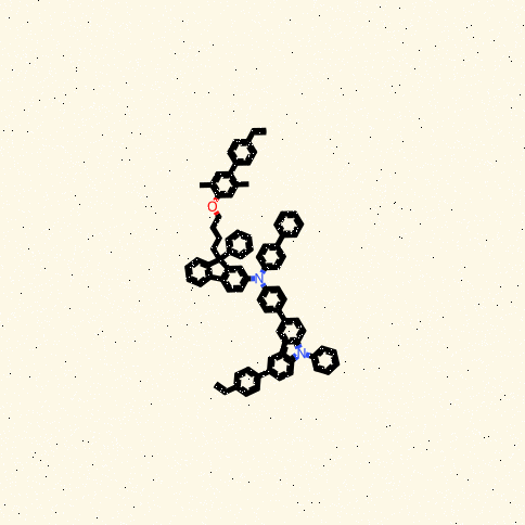 C=Cc1ccc(-c2ccc3c(c2)c2cc(-c4ccc(N(c5ccc(-c6ccccc6)cc5)c5ccc6c(c5)C(CCCCOc5cc(C)c(-c7ccc(C=C)cc7)cc5C)(c5ccccc5)c5ccccc5-6)cc4)ccc2n3-c2ccccc2)cc1